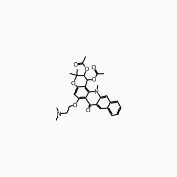 CC(=O)OC1c2c(cc(OCCN(C)C)c3c(=O)c4cc5ccccc5cc4n(C)c23)OC(C)(C)C1OC(C)=O